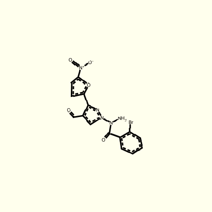 NN(C(=O)c1ccccc1Br)n1cc(C=O)c(-c2ccc([N+](=O)[O-])o2)n1